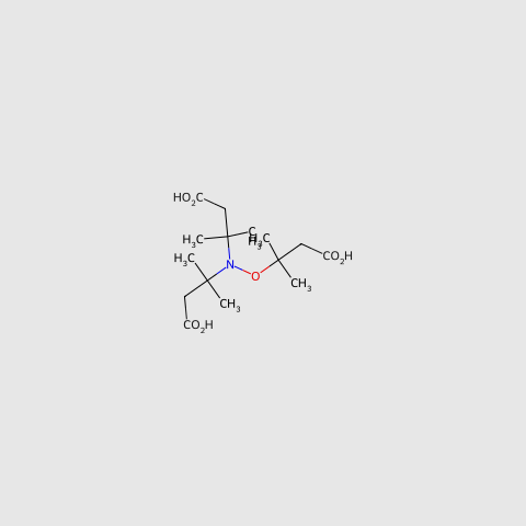 CC(C)(CC(=O)O)ON(C(C)(C)CC(=O)O)C(C)(C)CC(=O)O